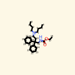 CCCCN(CCCC)CCC(CNC(=O)OCC)(c1ccccc1)c1ccccc1